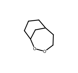 C1CC2CCOOC(C1)C2